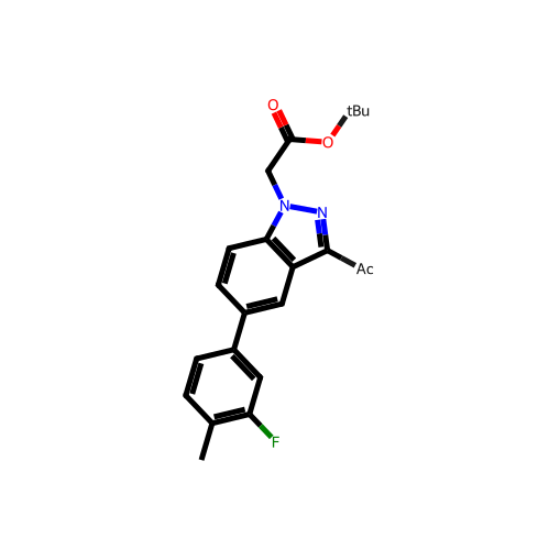 CC(=O)c1nn(CC(=O)OC(C)(C)C)c2ccc(-c3ccc(C)c(F)c3)cc12